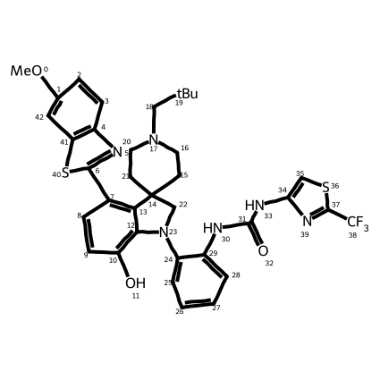 COc1ccc2nc(-c3ccc(O)c4c3C3(CCN(CC(C)(C)C)CC3)CN4c3ccccc3NC(=O)Nc3csc(C(F)(F)F)n3)sc2c1